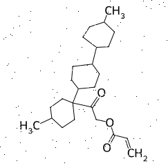 C=CC(=O)OCC(=O)C1(C2CCC(C3CCC(C)CC3)CC2)CCC(C)CC1